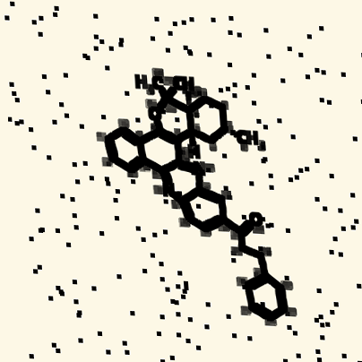 C[C@H]1CC[C@H]2[C@H](C1)c1c(c3ccccc3c3nc4ccc(C(=O)CCc5ccccc5)cc4nc13)OC2(C)C